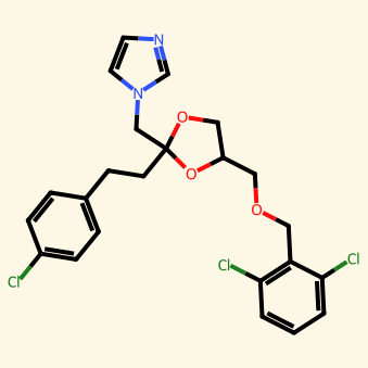 Clc1ccc(CCC2(Cn3ccnc3)OCC(COCc3c(Cl)cccc3Cl)O2)cc1